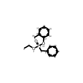 CCOP(=O)(Cc1ccccc1)Oc1ccccc1C